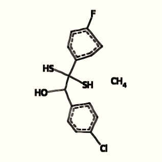 C.OC(c1ccc(Cl)cc1)C(S)(S)c1ccc(F)cc1